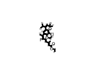 CCOC(=O)/C=C(C)/C=C/C(F)=C(/C)c1cc2c(c(Cl)c1OCC)OC(C)(C)C=C2C(C)C